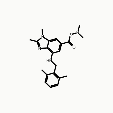 Cc1cccc(C)c1CNc1cc(C(=O)SN(C)C)cc2c1nc(C)n2C